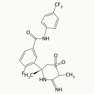 CC1C(=N)N[C@](C)(c2cc(C(=O)Nc3ccc(C(F)(F)F)cc3)ccc2F)CS1(=O)=O